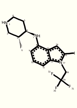 F[C@@H]1CNCC[C@H]1Nc1cccc2c1cc(I)n2CC(F)(F)F